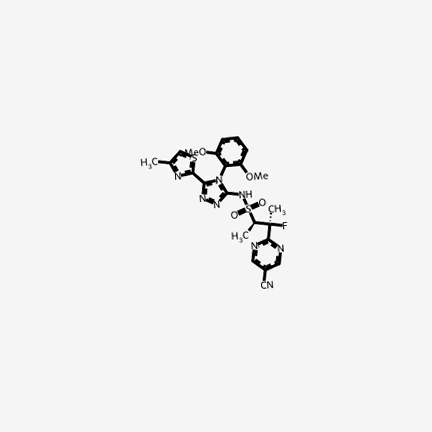 COc1cccc(OC)c1-n1c(NS(=O)(=O)[C@H](C)[C@@](C)(F)c2ncc(C#N)cn2)nnc1-c1nc(C)cs1